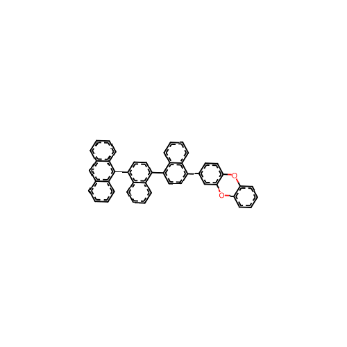 c1ccc2c(c1)Oc1ccc(-c3ccc(-c4ccc(-c5c6ccccc6cc6ccccc56)c5ccccc45)c4ccccc34)cc1O2